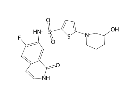 O=c1[nH]ccc2cc(F)c(NS(=O)(=O)c3ccc(N4CCCC(O)C4)s3)cc12